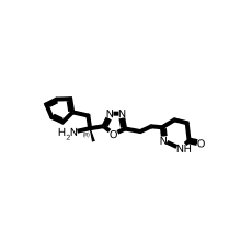 C[C@@](N)(Cc1ccccc1)c1nnc(CCC2=NNC(=O)CC2)o1